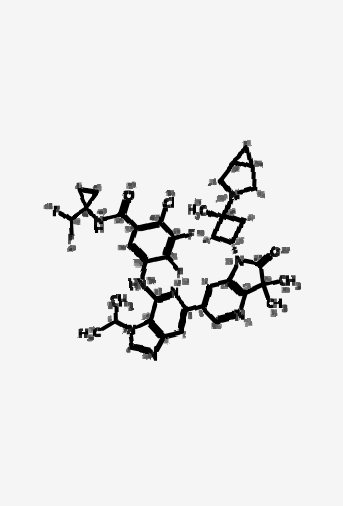 CC(C)n1cnc2cc(-c3cnc4c(c3)N([C@H]3C[C@@](C)(N5CC6CC6C5)C3)C(=O)C4(C)C)nc(Nc3cc(C(=O)NC4(C(F)F)CC4)c(Cl)c(F)c3F)c21